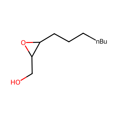 CCCCCCCC1OC1CO